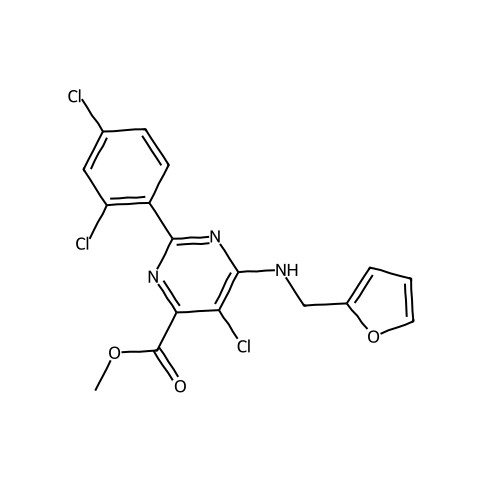 COC(=O)c1nc(-c2ccc(Cl)cc2Cl)nc(NCc2ccco2)c1Cl